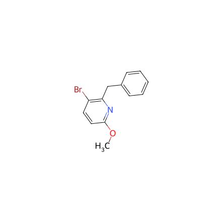 COc1ccc(Br)c(Cc2ccccc2)n1